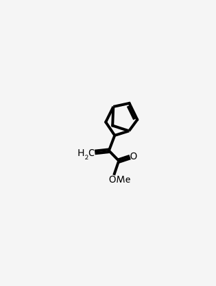 C=C(C(=O)OC)C1CC2C=CC1C2